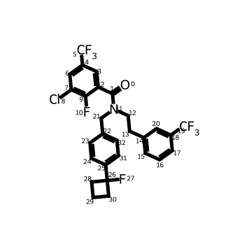 O=C(c1cc(C(F)(F)F)cc(Cl)c1F)N(CCc1cccc(C(F)(F)F)c1)Cc1ccc(C2(F)CCC2)cc1